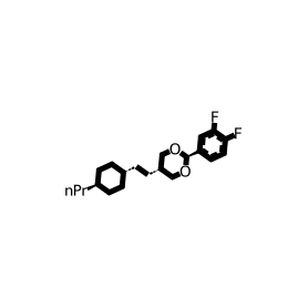 CCC[C@H]1CC[C@H](CC[C@H]2CO[C@H](c3ccc(F)c(F)c3)OC2)CC1